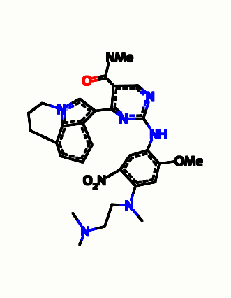 CNC(=O)c1cnc(Nc2cc([N+](=O)[O-])c(N(C)CCN(C)C)cc2OC)nc1-c1cn2c3c(cccc13)CCC2